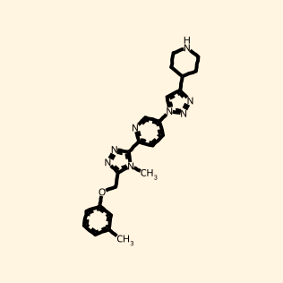 Cc1cccc(OCc2nnc(-c3ccc(-n4cc(C5CCNCC5)nn4)cn3)n2C)c1